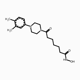 Cc1ccc(N2CCN(C(=O)CCCCCC(=O)NO)CC2)cc1C